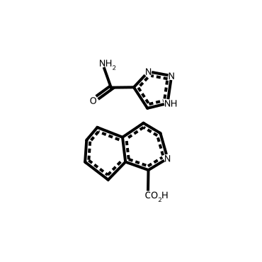 NC(=O)c1c[nH]nn1.O=C(O)c1nccc2ccccc12